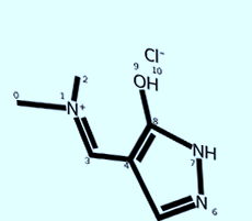 C[N+](C)=Cc1cn[nH]c1O.[Cl-]